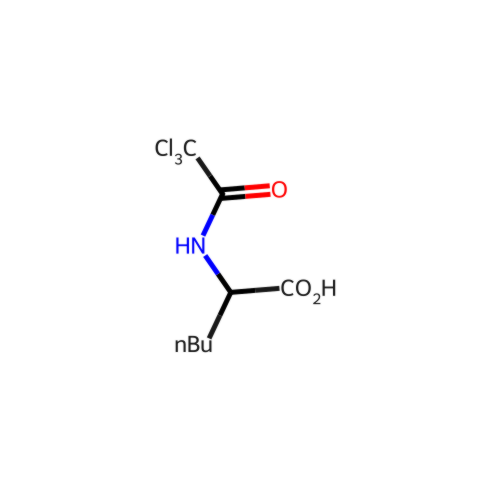 CCCCC(NC(=O)C(Cl)(Cl)Cl)C(=O)O